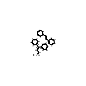 C(=Cc1ccccc1)c1ccccc1.C=CC=C(c1ccccc1)c1ccccc1